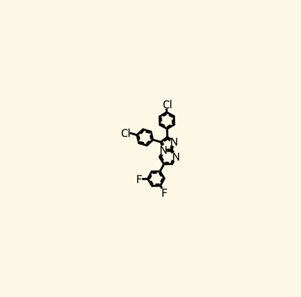 Fc1cc(F)cc(-c2cnc3nc(-c4ccc(Cl)cc4)c(-c4ccc(Cl)cc4)n3c2)c1